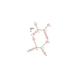 O=S([O-])S(=O)[O-].O=S([O-])S(=O)[O-].[Ti+4]